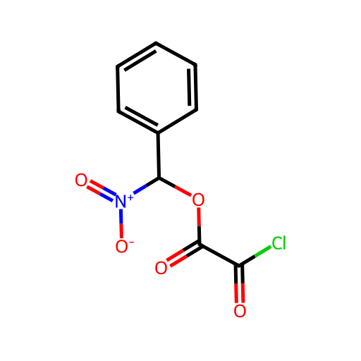 O=C(Cl)C(=O)OC(c1ccccc1)[N+](=O)[O-]